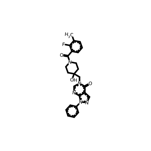 Cc1cccc(C(=O)N2CCC(O)(Cn3cnc4c(cnn4-c4ccccc4)c3=O)CC2)c1F